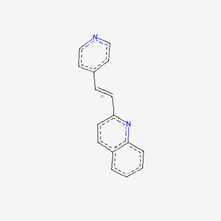 C(=C\c1ccc2ccccc2n1)/c1ccncc1